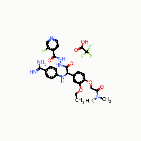 CCOc1cc(C(Nc2ccc(C(=N)N)cc2)C(=O)NNC(=O)c2ccncc2F)ccc1OCC(=O)N(C)C.O=C(O)C(F)(F)F